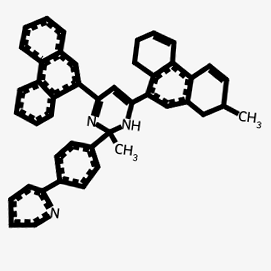 CC1C=Cc2c(cc(C3=CC(c4cc5ccccc5c5ccccc45)=NC(C)(c4ccc(-c5ccccn5)cc4)N3)c3c2C=CCC3)C1